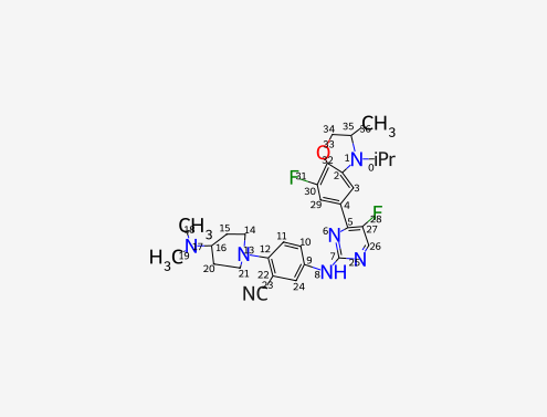 CC(C)N1c2cc(-c3nc(Nc4ccc(N5CCC(N(C)C)CC5)c(C#N)c4)ncc3F)cc(F)c2OCC1C